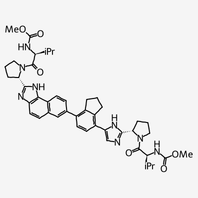 COC(=O)N[C@H](C(=O)N1CCC[C@H]1c1ncc(-c2ccc(-c3ccc4c(ccc5nc([C@@H]6CCCN6C(=O)[C@@H](NC(=O)OC)C(C)C)[nH]c54)c3)c3c2CCC3)[nH]1)C(C)C